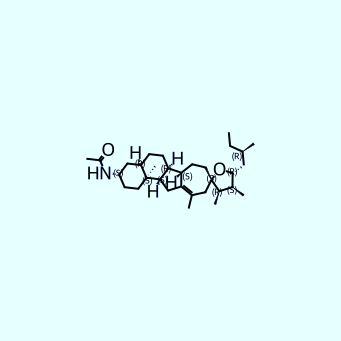 CC[C@@H](C)C[C@H]1O[C@]2(CC[C@@H]3C(=C(C)C2)C[C@H]2[C@H]3CC[C@@H]3C[C@@H](NC(C)=O)CC[C@@]32C)[C@H](C)[C@@H]1C